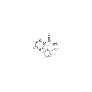 Clc1nccs1.NC(=O)c1ccccc1